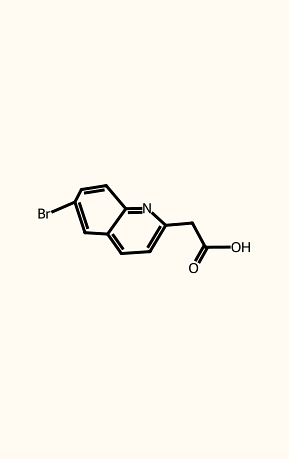 O=C(O)Cc1ccc2cc(Br)ccc2n1